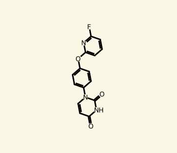 O=c1ccn(-c2ccc(Oc3cccc(F)n3)cc2)c(=O)[nH]1